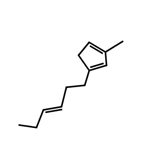 CCC=CCCC1=CC(C)=CC1